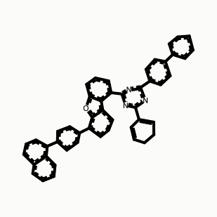 C1=CC(c2nc(-c3ccc(-c4ccccc4)cc3)nc(-c3cccc4oc5c(-c6ccc(-c7cccc8ccccc78)cc6)cccc5c34)n2)=CCC1